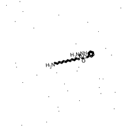 N=C(N)N(CCCCCCCCCCCCN)C(=O)OCc1ccccc1